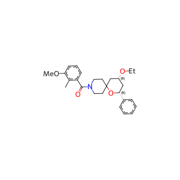 CCO[C@@H]1C[C@H](c2ccccc2)OC2(CCN(C(=O)c3cccc(OC)c3C)CC2)C1